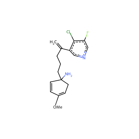 C=C(CCCC1(N)C=CC(OC)=CC1)c1cncc(F)c1Cl